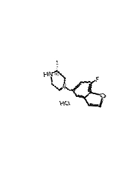 C[C@@H]1CN(c2cc(F)c3occc3c2)CCN1.Cl